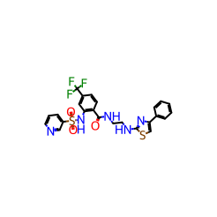 O=C(NCCNc1nc(-c2ccccc2)cs1)c1ccc(C(F)(F)F)cc1NS(=O)(=O)c1cccnc1